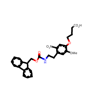 COc1cc(CCNC(=O)OCC2c3ccccc3-c3ccccc32)c([N+](=O)[O-])cc1OCCCC(=O)O